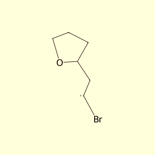 Br[CH]CC1CCCO1